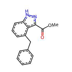 COC(=O)c1n[nH]c2cccc(Cc3ccccc3)c12